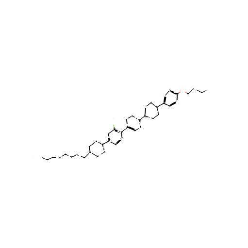 CCCCCCCCC1CCC(c2ccc(C3=CCC(C4CCC(c5ccc(OCCCC)cc5)CC4)CC3)c(F)c2)CC1